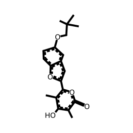 Cc1c(-c2cc3cc(OCC(C)(C)C)ccc3o2)oc(=O)c(C)c1O